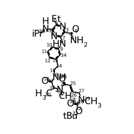 CCc1nc(C(N)=O)c(Nc2cccc(CCNC(=O)[C@H](C)N(C)C(=O)/C=C/CN(C)C(=O)OC(C)(C)C)c2)nc1NC(C)C